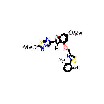 [3H]c1cccc([3H])c1-c1nc(COc2cc(OC)cc3oc(-c4cn5nc(OC)sc5n4)c([3H])c23)cs1